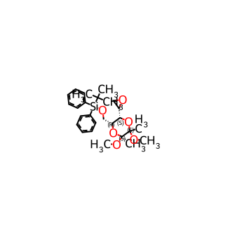 CO[C@@]1(C)O[C@H](CO[Si](c2ccccc2)(c2ccccc2)C(C)(C)C)[C@H](C2CO2)O[C@]1(C)OC